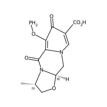 C[C@H]1CO[C@@H]2Cn3cc(C(=O)O)c(=O)c(OP)c3C(=O)N12